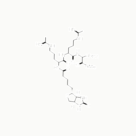 CCCCCC(NC(=O)C(CCCNC(C)=N)NC(=O)C(CCCNC(C)=N)NC(=O)CCCC[C@@H]1SC[C@@H]2NC(=O)N[C@@H]21)C(=O)NC